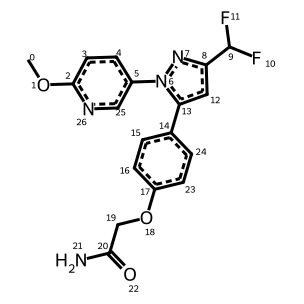 COc1ccc(-n2nc(C(F)F)cc2-c2ccc(OCC(N)=O)cc2)cn1